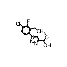 CCc1c(-n2cc(C(=O)O)nn2)ccc(Cl)c1F